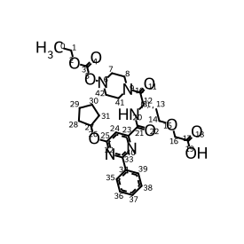 CCOC(=O)ON1CCN(C(=O)[C@H](CCOCC(=O)O)NC(=O)c2cc(OC3CCCC3)nc(-c3ccccc3)n2)CC1